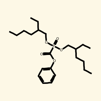 CCCCC(CC)COP(=O)(OCC(CC)CCCC)C(=O)Oc1ccccc1